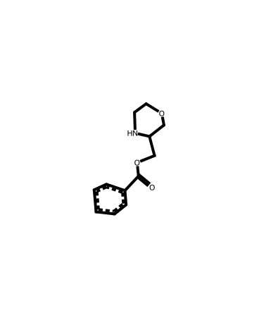 O=C(OCC1COCCN1)c1ccccc1